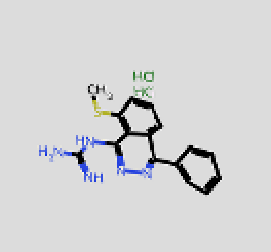 CSc1cccc2c(-c3ccccc3)nnc(NC(=N)N)c12.Cl.Cl